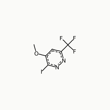 COc1cc(C(F)(F)F)nnc1I